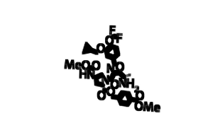 COC(=O)N[C@@H]1C[C@@H](C(=O)OCc2ccc(C(=O)OC)cc2)N(C(=O)c2nc(-c3ccc(OC(F)F)c(OCC4CC4)c3)oc2[C@H](C)N)C1